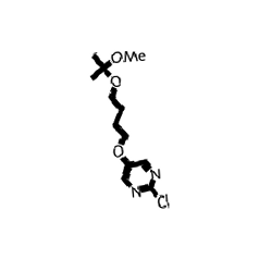 COC(C)(C)OCCCCOc1cnc(Cl)nc1